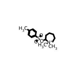 Cc1ccc(S(=O)(=O)OC2CCCCC[N+]2(C)C)cc1